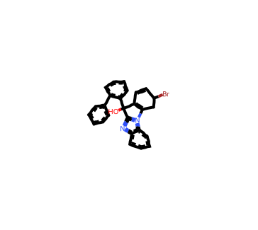 OC1(c2ccccc2-c2ccccc2)C2=C(CC(Br)C=C2)n2c1nc1ccccc12